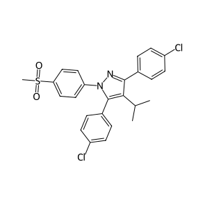 CC(C)c1c(-c2ccc(Cl)cc2)nn(-c2ccc(S(C)(=O)=O)cc2)c1-c1ccc(Cl)cc1